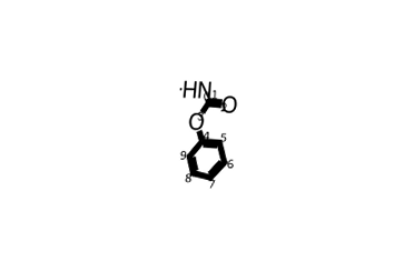 [NH]C(=O)Oc1ccccc1